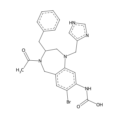 CC(=O)N1Cc2cc(Br)c(NC(=O)O)cc2N(Cc2c[nH]cn2)CC1Cc1ccccc1